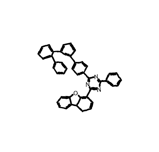 C1=CC(c2nc(-c3ccccc3)nc(-c3ccc(-c4cccc(-c5ccccc5-c5ccccc5)c4)cc3)n2)=C2Oc3ccccc3C2C1